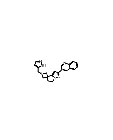 c1ccc2ncc(-c3cc4n(n3)CCC43CN(Cc4ccn[nH]4)C3)cc2c1